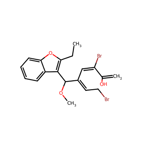 C=C(O)/C(Br)=C\C(=C/CBr)C(OC)c1c(CC)oc2ccccc12